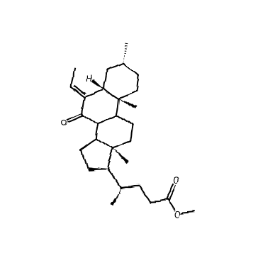 C/C=C1/C(=O)C2C3CC[C@H]([C@H](C)CCC(=O)OC)[C@@]3(C)CCC2[C@@]2(C)CC[C@@H](C)C[C@@H]12